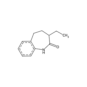 CCC1CCc2ccccc2NC1=O